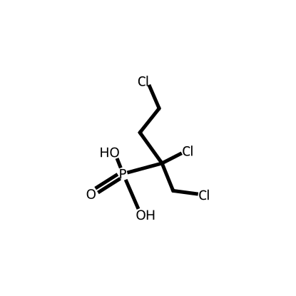 O=P(O)(O)C(Cl)(CCl)CCCl